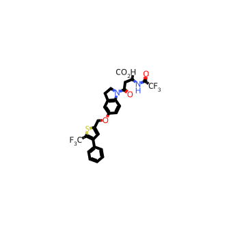 O=C(O)C(CC(=O)N1CCc2cc(OCc3cc(-c4ccccc4)c(C(F)(F)F)s3)ccc21)NC(=O)C(F)(F)F